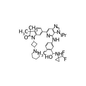 Cc1ccc(Nc2nc(-c3ccc4c(c3)N([C@H]3C[C@@H](N5CCCCC5)C3)C(=O)C4(C)C)cc3ncn(C(C)C)c23)cc1C(O)NC1(C(F)F)CC1